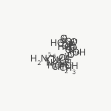 C=C1N=C(N)C=CN1[C@@H]1O[C@](F)(COP(=O)(O)OP(=O)(O)OP(=O)(O)O)[C@@H](O)[C@@]1(C)O